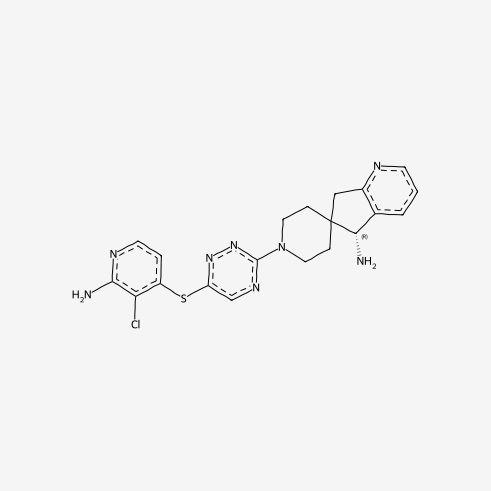 Nc1nccc(Sc2cnc(N3CCC4(CC3)Cc3ncccc3[C@@H]4N)nn2)c1Cl